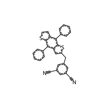 N#Cc1cc(C#N)cc(Cc2cc3c(-c4ccccc4)c4sccc4c(-c4ccccc4)c3s2)c1